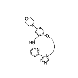 c1cc2nc(c1)-c1nncn1CCCCCOc1ccc(N3CCOCC3)cc1CN2